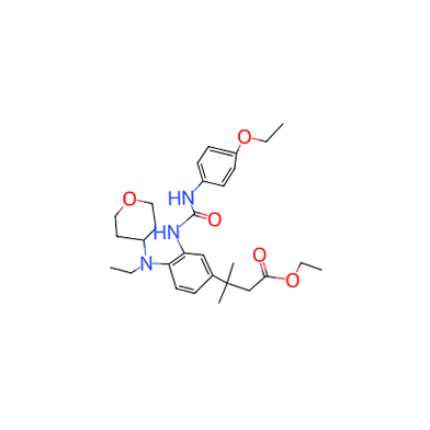 CCOC(=O)CC(C)(C)c1ccc(N(CC)C2CCOCC2)c(NC(=O)Nc2ccc(OCC)cc2)c1